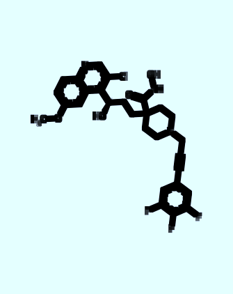 COc1ccc2ncc(Cl)c([C@H](O)CCC3(C(=O)NO)CCN(CC#Cc4cc(F)c(F)c(F)c4)CC3)c2c1